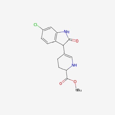 CC(C)(C)OC(=O)C1CCC(C2C(=O)Nc3cc(Cl)ccc32)=CN1